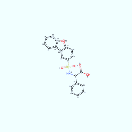 O=C(O)C(NS(=O)(=O)c1ccc2oc3ccccc3c2c1)c1ccccc1